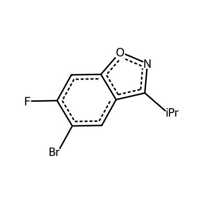 CC(C)c1noc2cc(F)c(Br)cc12